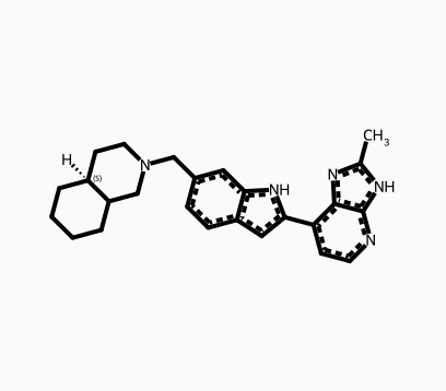 Cc1nc2c(-c3cc4ccc(CN5CC[C@@H]6CCCCC6C5)cc4[nH]3)ccnc2[nH]1